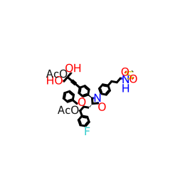 CC(=O)O[C@@H](CC[C@H]1C(=O)N(c2ccc(CCCNS(C)(=O)=O)cc2)[C@@H]1c1ccc(C#CC(CO)(CO)OC(C)=O)cc1OCc1ccccc1)c1ccc(F)cc1